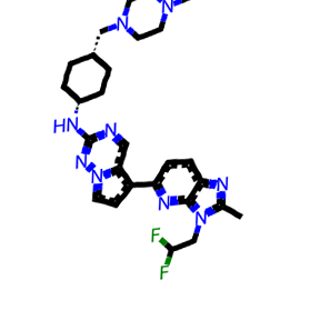 Cc1nc2ccc(-c3ccn4nc(N[C@H]5CC[C@@H](CN6CCN(C)CC6)CC5)ncc34)nc2n1CC(F)F